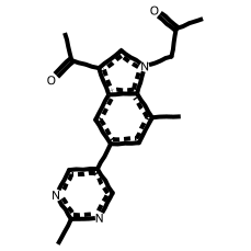 CC(=O)Cn1cc(C(C)=O)c2cc(-c3cnc(C)nc3)cc(C)c21